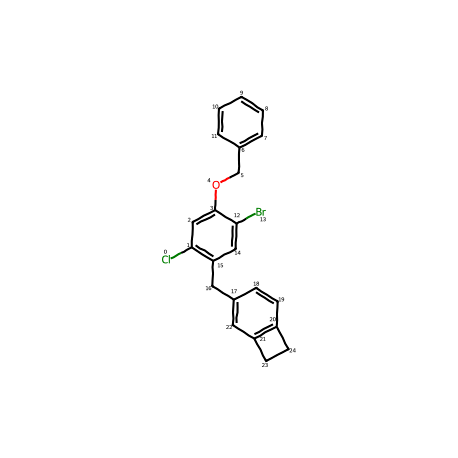 Clc1cc(OCc2ccccc2)c(Br)cc1Cc1ccc2c(c1)CC2